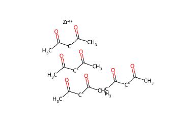 CC(=O)[CH-]C(C)=O.CC(=O)[CH-]C(C)=O.CC(=O)[CH-]C(C)=O.CC(=O)[CH-]C(C)=O.[Zr+4]